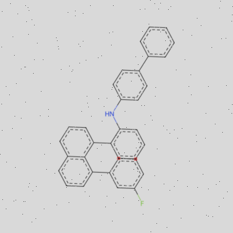 Fc1cccc(-c2cccc3cccc(-c4ccccc4Nc4ccc(-c5ccccc5)cc4)c23)c1